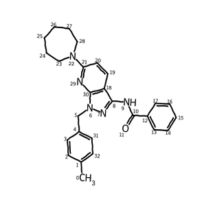 Cc1ccc(Cn2nc(NC(=O)c3ccccc3)c3ccc(N4CCCCCC4)nc32)cc1